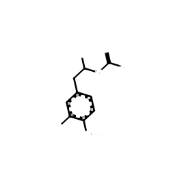 CCCc1cc(CC(CC)NC(N)=O)ccc1OC